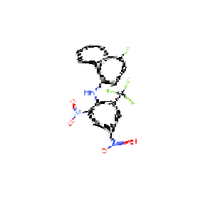 O=[N+]([O-])c1cc([N+](=O)[O-])c(Nc2ccc(F)c3ccccc23)c(C(F)(F)F)c1